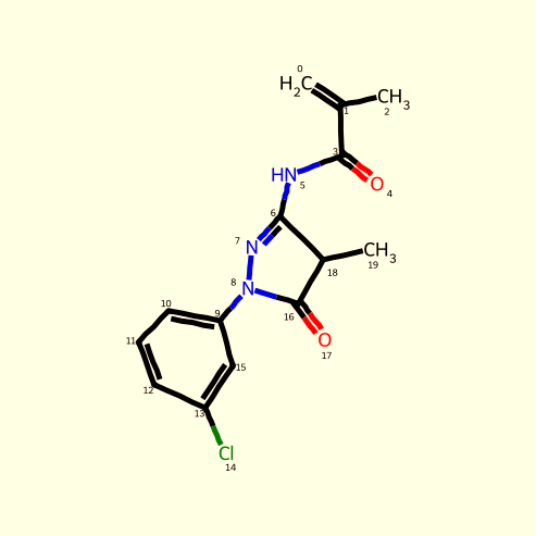 C=C(C)C(=O)NC1=NN(c2cccc(Cl)c2)C(=O)C1C